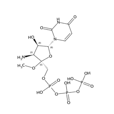 CO[C@]1(COP(=O)(O)OP(=O)(O)OP(=O)(O)O)O[C@@H](n2ccc(=O)[nH]c2=O)[C@H](O)[C@@H]1N